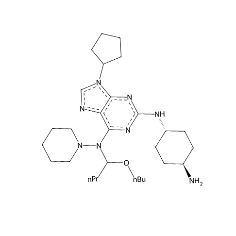 CCCCOC(CCC)N(c1nc(N[C@H]2CC[C@H](N)CC2)nc2c1ncn2C1CCCC1)N1CCCCC1